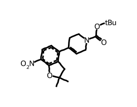 CC(C)(C)OC(=O)N1CC=C(c2ccc([N+](=O)[O-])c3c2CC(C)(C)O3)CC1